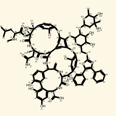 C=C1N[C@@H]2C(=O)N[C@@H](C(=O)O)c3cc(O)cc(O)c3-c3cc(ccc3O)C1NC(=O)C1NC(=O)[C@H](CC(N)=O)NC(=O)[C@H](NC(=O)[C@H](CC(C)C)NC)[C@H](O)c3ccc(c(Cl)c3)Oc3cc1cc(c3OC1OC(CSc3nc(-c4ccccc4)c(-c4ccccc4)o3)C(O)C(O)C1OC1CC(C)(N)C(O)C(C)O1)Oc1ccc(cc1Cl)[C@H]2O